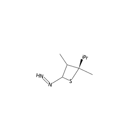 CC(C)[C@@]1(C)SC(N=N)C1C